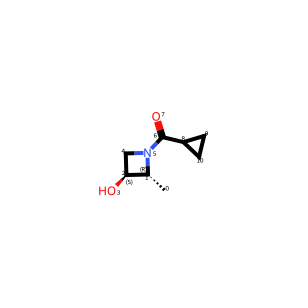 C[C@@H]1[C@@H](O)CN1C(=O)C1CC1